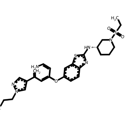 C=C(/C=C(\C=C/N)Oc1ccc2nc(N[C@H]3CCCN(S(=O)(=O)CC)C3)sc2c1)c1cnn(CCC)c1